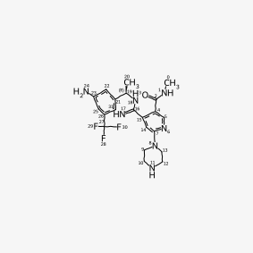 CNC(=O)c1cnc(N2CCNCC2)cc1C(=N)N[C@H](C)c1cc(N)cc(C(F)(F)F)c1